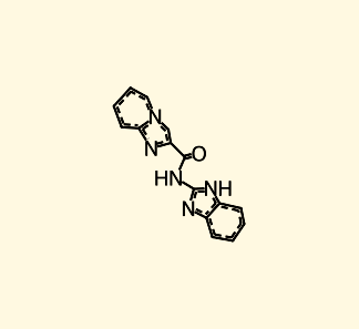 O=C(Nc1nc2ccccc2[nH]1)c1cn2ccccc2n1